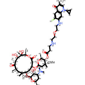 CC[C@H]1OC(=O)[C@H](C)[C@@H](OC2C[C@@](C)(OC)[C@@H](OC(=O)CCNCCOCCNc3cc4c(cc3F)c(=O)c(C(=O)O)cn4C3CC3)[C@H](C)O2)[C@H](C)[C@@H](OC2O[C@H](C)C[C@H](N(C)C)[C@H]2O)[C@](C)(OC)C[C@@H](C)C(=O)[C@H](C)[C@@H](O)[C@]1(C)O